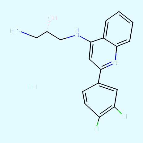 Cl.NC[C@H](O)CNc1cc(-c2ccc(Cl)c(Cl)c2)nc2ccccc12